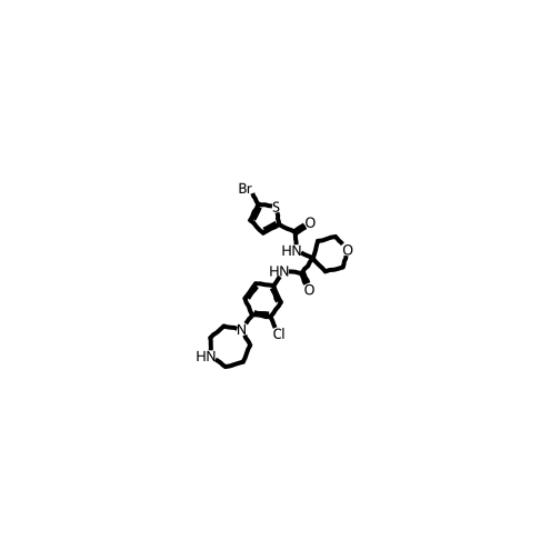 O=C(NC1(C(=O)Nc2ccc(N3CCCNCC3)c(Cl)c2)CCOCC1)c1ccc(Br)s1